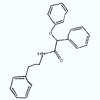 O=C(NCCc1ccccc1)C(Oc1ccccc1)c1ccccc1